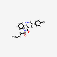 CCc1ccc(C2CNCC(C(=O)N(C(=O)CCOC)c3ccccc3)C2)cc1